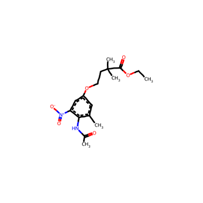 CCOC(=O)C(C)(C)CCOc1cc(C)c(NC(C)=O)c([N+](=O)[O-])c1